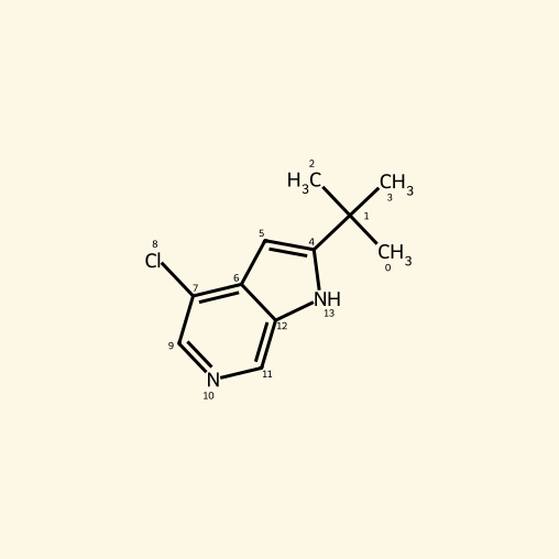 CC(C)(C)c1cc2c(Cl)cncc2[nH]1